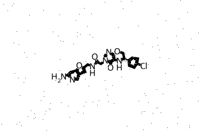 Nc1cc2oc(CNC(=O)Cn3cnc4c(c3=O)N[C@H](c3ccc(Cl)cc3)CO4)cc2cn1